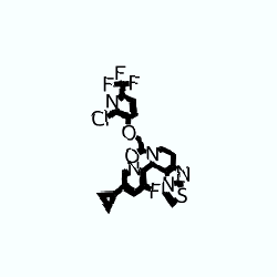 O=C(COc1ccc(C(F)(F)F)nc1Cl)N1CCc2nc3sccn3c2C1c1ncc(C2CC2)cc1F